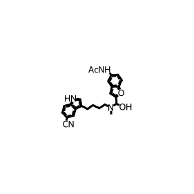 CC(=O)Nc1ccc2oc(C(O)N(C)CCCCc3c[nH]c4ccc(C#N)cc34)cc2c1